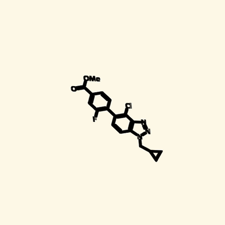 COC(=O)c1ccc(-c2ccc3c(nnn3CC3CC3)c2Cl)c(F)c1